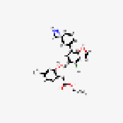 CCOC(=O)Cc1ccc(C)cc1OCc1cc(-c2cccc(CN)c2)c2occc2c1F